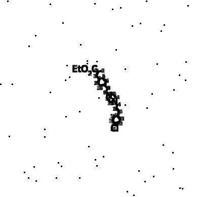 CCOC(=O)/C(C)=C/c1ccc(CCN2CCN(C/C=C/c3ccc(Cl)cc3)CC2)cc1